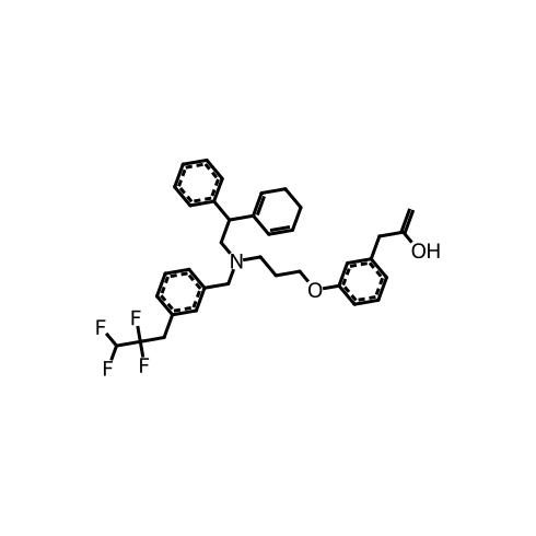 C=C(O)Cc1cccc(OCCCN(Cc2cccc(CC(F)(F)C(F)F)c2)CC(C2=CCCC=C2)c2ccccc2)c1